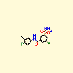 Cc1cc(NC(=O)c2cc(F)cc(S(N)(=O)=O)c2)ccc1F